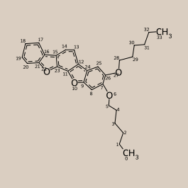 CCCCCCOc1cc2oc3c(ccc4c5ccccc5oc43)c2cc1OCCCCCC